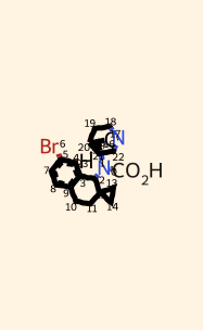 O=C(O)N(C1c2cc(Br)ccc2CCC12CC2)[C@@H]1CN2CCC1CC2